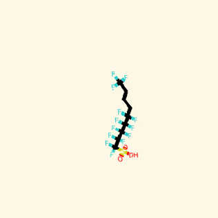 O=S(=O)(O)C(F)(F)C(F)(F)C(F)(F)C(F)(F)C(F)(F)CCCC(F)(F)F